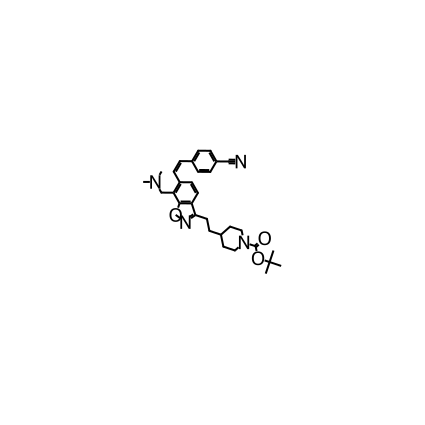 CN(C)Cc1c(/C=C\c2ccc(C#N)cc2)ccc2c(CCC3CCN(C(=O)OC(C)(C)C)CC3)noc12